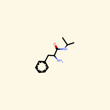 CC(C)NC(=O)C(N)Cc1ccccc1